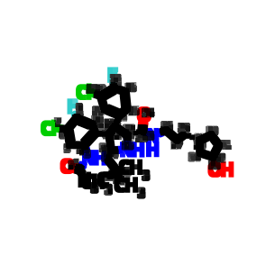 CC(=O)Nc1cc(Cl)c(F)cc1[C@H]1[C@@H](c2ccc(F)c(Cl)c2)[C@H](C(=O)NCCC[C@@H]2CC[C@@H](O)C2)N[C@@H]1CC(C)(C)C